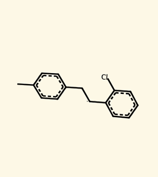 Cc1ccc(C[CH]c2ccccc2Cl)cc1